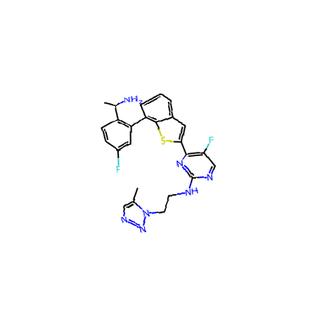 Cc1cnnn1CCNc1ncc(F)c(-c2cc3cccc(-c4cc(F)ccc4C(C)N)c3s2)n1